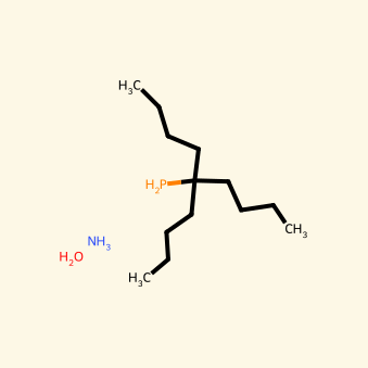 CCCCC(P)(CCCC)CCCC.N.O